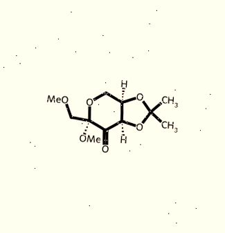 COC[C@@]1(OC)OC[C@H]2OC(C)(C)O[C@H]2C1=O